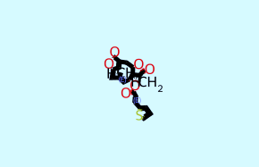 C=C1C(=O)OC2CC3=C[C@@H](C/C(C)=C/C(OC(=O)/C=C/c4cccs4)[C@H]12)OC3=O